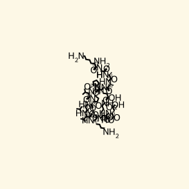 CC(C)C[C@H](NC(=O)[C@@H]1CCCN1C(=O)[C@@H](NC(=O)[C@@H]1CCCN1C(=O)[C@H](CCC(=O)O)NC(=O)[C@H](C)NC(=O)[C@H](C)NC(=O)CNC(=O)[C@@H](N)CCCCN)C(C)C)C(=O)N[C@H](C(=O)N[C@@H](CCCCN)C(=O)N[C@@H](CCC(N)=O)C(=O)N[C@@H](CC(=O)O)C(=O)O)C(C)C